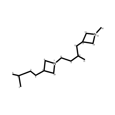 CC(C)CCC1CN(CCC(C)CC2CN(C)C2)C1